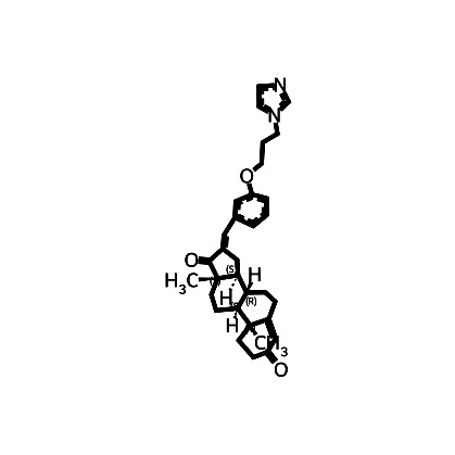 C[C@]12CCC(=O)C=C1CC[C@@H]1[C@@H]2CC[C@]2(C)C(=O)C(=Cc3cccc(OCCCn4ccnc4)c3)C[C@@H]12